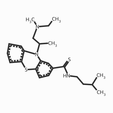 CCN(C)CC(C)N1c2ccccc2Sc2ccc(C(=S)NCCC(C)C)cc21